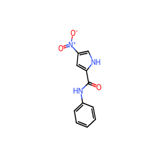 O=C(Nc1ccccc1)c1cc([N+](=O)[O-])c[nH]1